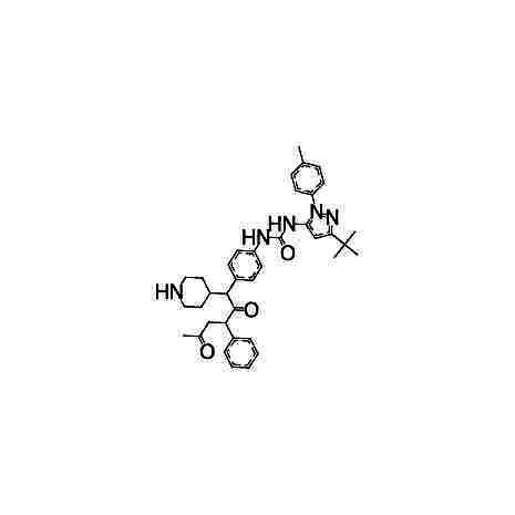 CC(=O)CC(C(=O)C(c1ccc(NC(=O)Nc2cc(C(C)(C)C)nn2-c2ccc(C)cc2)cc1)C1CCNCC1)c1ccccc1